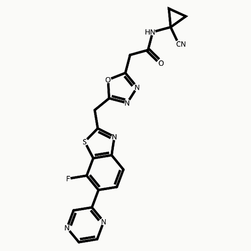 N#CC1(NC(=O)Cc2nnc(Cc3nc4ccc(-c5cnccn5)c(F)c4s3)o2)CC1